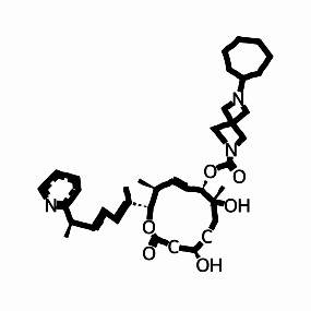 C/C(=C\C=C\[C@@H](C)c1ccccn1)[C@H]1OC(=O)C[C@H](O)CC[C@@](C)(O)[C@@H](OC(=O)N2CC3(C2)CN(C2CCCCCC2)C3)/C=C/[C@@H]1C